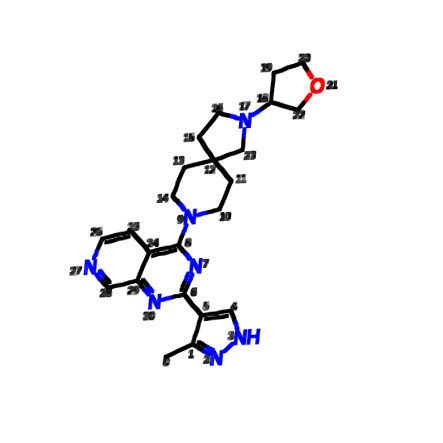 Cc1n[nH]cc1-c1nc(N2CCC3(CC2)CCN(C2CCOC2)C3)c2ccncc2n1